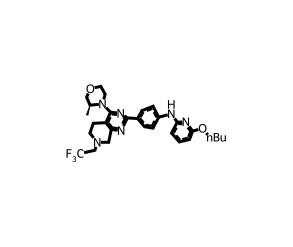 CCCCOc1cccc(Nc2ccc(-c3nc4c(c(N5CCOC[C@@H]5C)n3)CCN(CC(F)(F)F)C4)cc2)n1